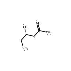 CC[C@H](C)CC(C)=N